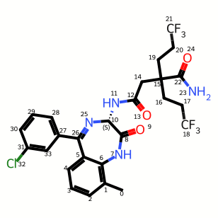 Cc1cccc2c1NC(=O)[C@@H](NC(=O)CC(CCC(F)(F)F)(CCC(F)(F)F)C(N)=O)N=C2c1cccc(Cl)c1